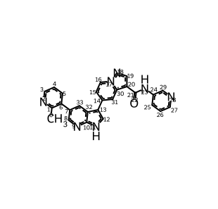 Cc1ncccc1-c1cnc2[nH]cc(-c3ccn4ncc(C(=O)Nc5cccnc5)c4c3)c2c1